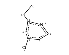 CCc1nccc(Cl)n1